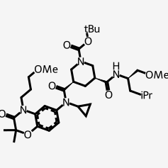 COCCCN1C(=O)C(C)(C)Oc2ccc(N(C(=O)[C@@H]3C[C@H](C(=O)N[C@@H](COC)CC(C)C)CN(C(=O)OC(C)(C)C)C3)C3CC3)cc21